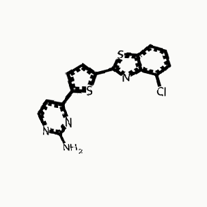 Nc1nccc(-c2ccc(-c3nc4c(Cl)cccc4s3)s2)n1